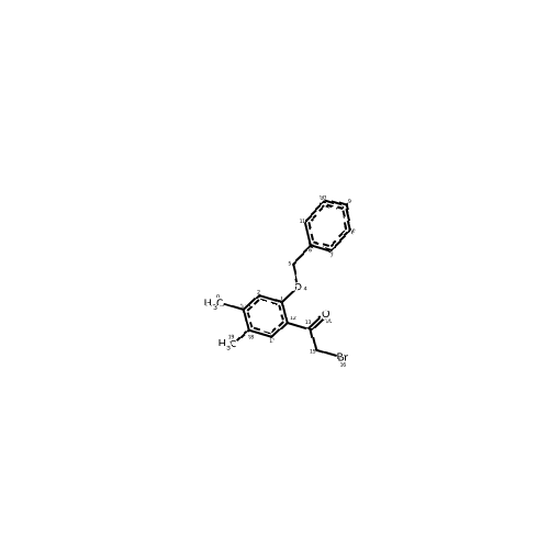 Cc1cc(OCc2ccccc2)c(C(=O)CBr)cc1C